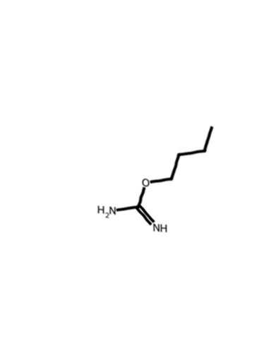 CCCCOC(=N)N